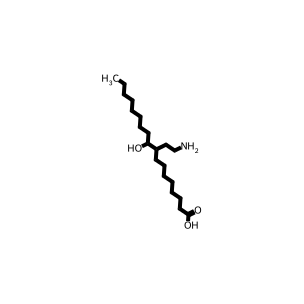 CCCCCCCCC(O)C(CCN)CCCCCCCC(=O)O